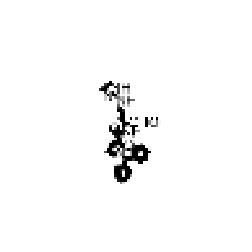 O=C[C@H](CCCNC1=NCCN1)NC(=O)c1cccn(C(c2ccccc2)c2ccccc2)c1=O